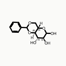 OC1O[C@H]2COC(c3ccccc3)O[C@@H]2[C@@H](O)[C@@H]1O